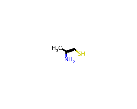 C/C(N)=C/S